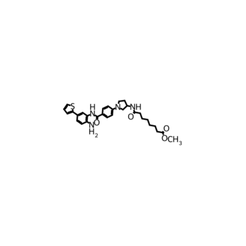 COC(=O)CCCCCCC(=O)NC1CCN(c2ccc(C(=O)Nc3cc(-c4cccs4)ccc3N)cc2)C1